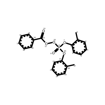 Cc1ccccc1OP(=O)(OOC(=O)c1ccccc1)Oc1ccccc1C